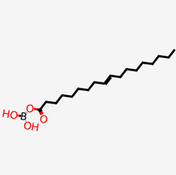 CCCCCCCCC=CCCCCCCCC(=O)OB(O)O